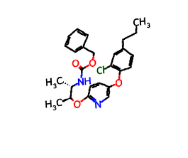 CCCc1ccc(Oc2ccc(O[C@@H](C)[C@H](C)NC(=O)OCc3ccccc3)nc2)c(Cl)c1